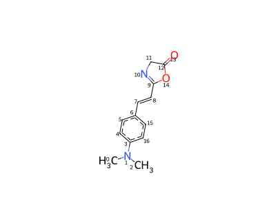 CN(C)c1ccc(/C=C/C2=NCC(=O)O2)cc1